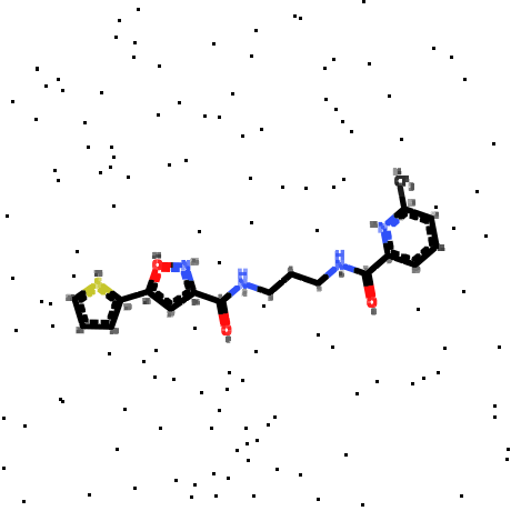 O=C(NCCCNC(=O)c1cccc(C(F)(F)F)n1)c1cc(-c2cccs2)on1